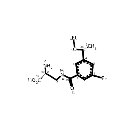 CCO[C@H](C)c1cc(F)cc(C(=O)NC[C@@H](N)C(=O)O)c1